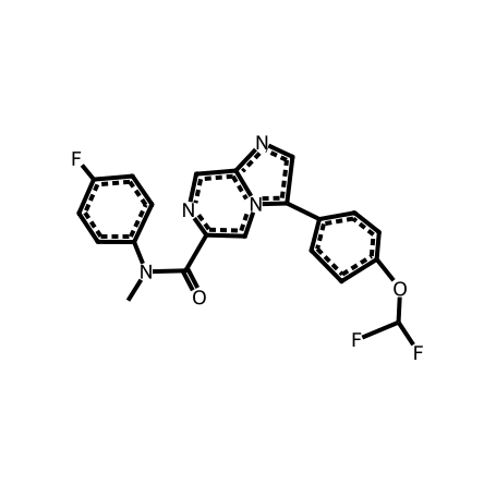 CN(C(=O)c1cn2c(-c3ccc(OC(F)F)cc3)cnc2cn1)c1ccc(F)cc1